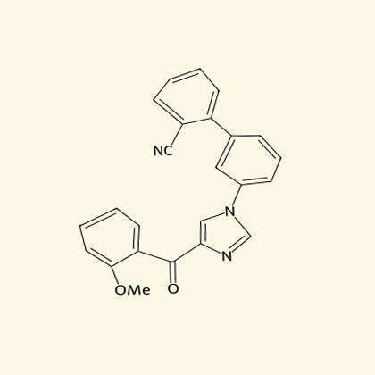 COc1ccccc1C(=O)c1cn(-c2cccc(-c3ccccc3C#N)c2)cn1